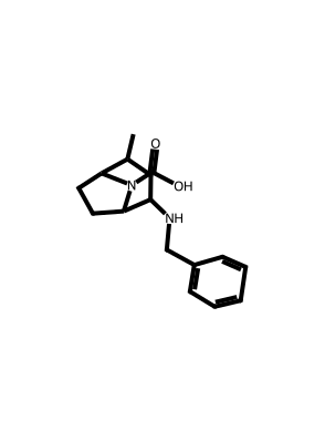 CC1CC(NCc2ccccc2)C2CCC1N2C(=O)O